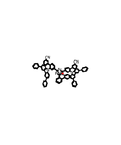 N#Cc1cccc(-c2ccc(-c3nc(-c4ccc(-c5cccc(C#N)c5)c(-n5c6ccc(-c7ccccc7)cc6c6cc(-c7ccccc7)ccc65)c4)nc(-c4ccccc4-c4ccccc4C#N)n3)cc2-n2c3ccc(-c4ccccc4)cc3c3cc(-c4ccccc4)ccc32)c1